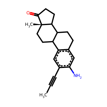 CC#Cc1cc2c(cc1N)CCC1C2CC[C@]2(C)C(=O)CCC12